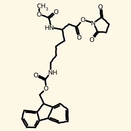 COC(=O)NC(CCCCNC(=O)OCC1c2ccccc2-c2ccccc21)CC(=O)ON1C(=O)CCC1=O